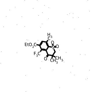 CCOC(=O)c1cc(C)c2c(c1C(F)(F)F)C(=O)C(C)(C)CS2(=O)=O